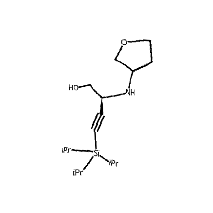 CC(C)[Si](C#C[C@@H](CO)NC1CCOC1)(C(C)C)C(C)C